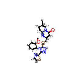 COc1ccccc1-n1c(SCc2cc(=O)n3cc(C)ccc3n2)nnc1-c1nccs1